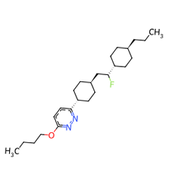 CCCCOc1ccc([C@H]2CC[C@H](CC(F)[C@H]3CC[C@H](CCC)CC3)CC2)nn1